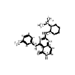 CN(C)C1CCCCC1Nc1nc(Nc2cccc(C(F)(F)F)c2)c2c(=O)[nH]ccc2n1